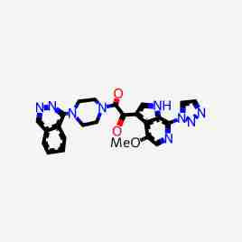 COc1cnc(-n2ccnn2)c2[nH]cc(C(=O)C(=O)N3CCN(c4nncc5ccccc45)CC3)c12